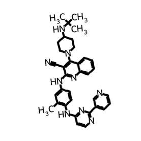 Cc1cc(Nc2nc3ccccc3c(N3CCC(NC(C)(C)C)CC3)c2C#N)ccc1Nc1ccnc(-c2cccnc2)n1